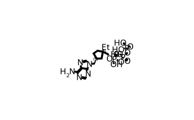 CC[C@@]1(COP(=O)(O)OP(=O)(O)OP(=O)(O)O)CC[C@H](Cn2cnc3c(N)ncnc32)C1